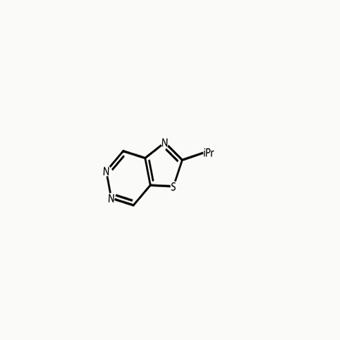 CC(C)c1nc2cnncc2s1